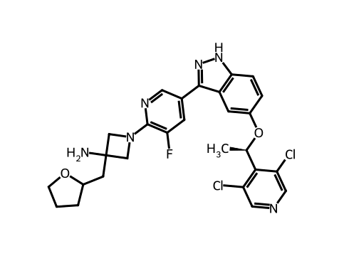 C[C@@H](Oc1ccc2[nH]nc(-c3cnc(N4CC(N)(CC5CCCO5)C4)c(F)c3)c2c1)c1c(Cl)cncc1Cl